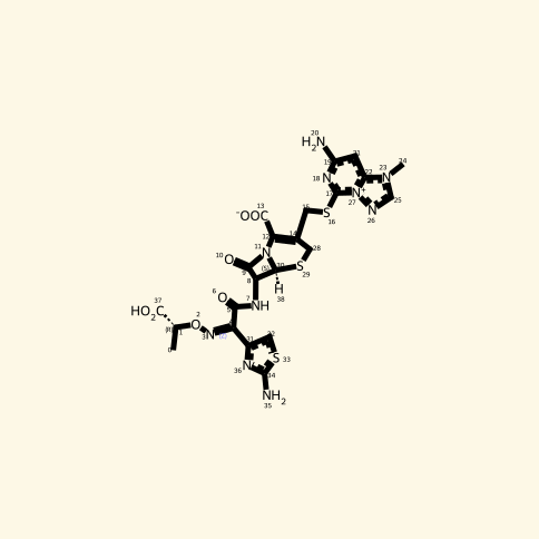 C[C@@H](O/N=C(\C(=O)NC1C(=O)N2C(C(=O)[O-])=C(CSc3nc(N)cc4n(C)cn[n+]34)CS[C@@H]12)c1csc(N)n1)C(=O)O